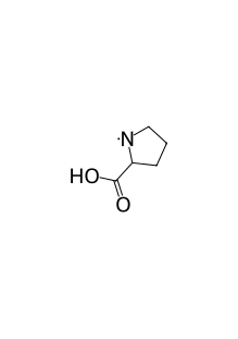 O=C(O)C1CCC[N]1